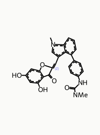 CNC(=O)Nc1ccc(-c2cccc3c2c(/C=C2\Oc4cc(O)cc(O)c4C2=O)cn3C)cc1